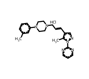 Cc1cccc(N2CCN(C/C=C/c3cnn(-c4ncccn4)c3C)CC2)c1.Cl